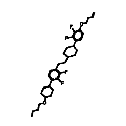 C=CCCOc1ccc(C2CCC(CCc3ccc(C4=CCC(OCCCC)CC4)c(F)c3F)CC2)c(F)c1F